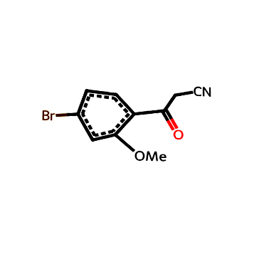 COc1cc(Br)ccc1C(=O)CC#N